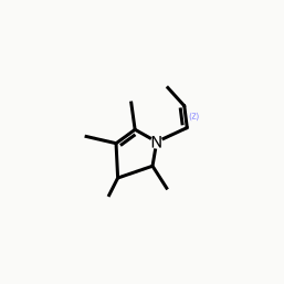 C/C=C\N1C(C)=C(C)C(C)C1C